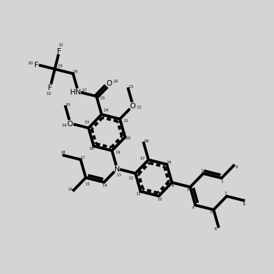 C/C=C/C(=C\C(C)CC)c1ccc(N(/C=C(/C)CC)c2cc(OC)c(C(=O)NCC(F)(F)F)c(OC)c2)c(C)c1